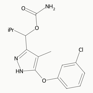 Cc1c(C(OC(N)=O)C(C)C)n[nH]c1Oc1cccc(Cl)c1